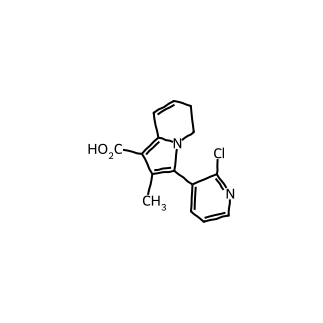 Cc1c(C(=O)O)c2n(c1-c1cccnc1Cl)CCC=C2